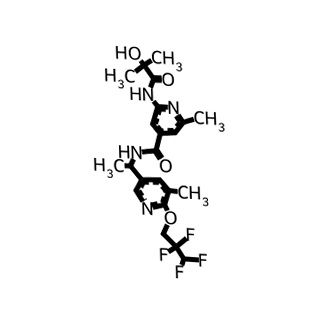 Cc1cc(C(=O)NC(C)c2cnc(OCC(F)(F)C(F)F)c(C)c2)cc(NC(=O)C(C)(C)O)n1